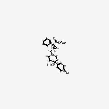 COC(=O)[C@]1(c2ccccc2)C[C@@H]1CN1CCC(O)(c2ccc(Cl)cc2)CC1